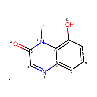 Cn1c(=O)cnc2cccc(O)c21